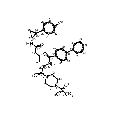 CS(=O)(=O)N1CCN(C(=O)[C@H](CCCC(=O)N[C@@H]2C[C@H]2c2ccc(F)cc2)NC(=O)c2ccc(-c3ccccc3)cc2)CC1